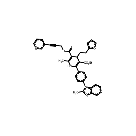 CCOC(=O)C1=C(c2ccc(-n3c(C)nc4cnccc43)cc2)NC(C)=C(C(=O)OCC#Cc2cccnc2)C1CCc1ccco1